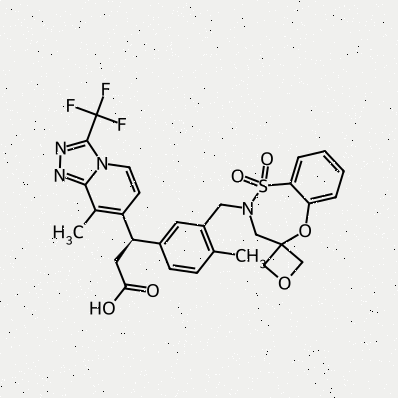 Cc1ccc([C@@H](CC(=O)O)c2ccn3c(C(F)(F)F)nnc3c2C)cc1CN1CC2(COC2)Oc2ccccc2S1(=O)=O